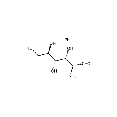 N[C@@H](C=O)[C@@H](O)[C@H](O)[C@H](O)CO.[Pb]